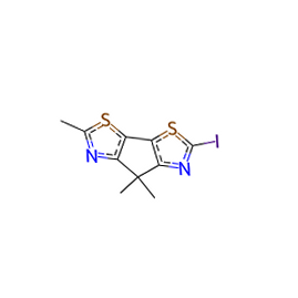 Cc1nc2c(s1)-c1sc(I)nc1C2(C)C